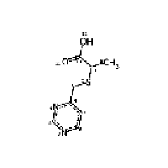 CC(SCc1ccncn1)C(=O)O